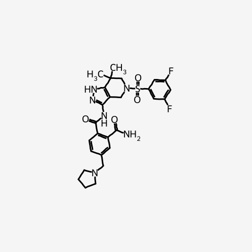 CC1(C)CN(S(=O)(=O)c2cc(F)cc(F)c2)Cc2c(NC(=O)c3ccc(CN4CCCC4)cc3C(N)=O)n[nH]c21